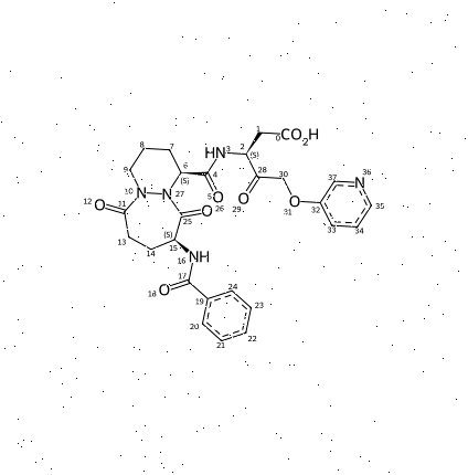 O=C(O)C[C@H](NC(=O)[C@@H]1CCCN2C(=O)CC[C@H](NC(=O)c3ccccc3)C(=O)N12)C(=O)COc1cccnc1